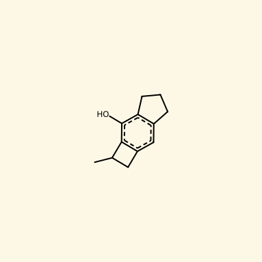 CC1Cc2cc3c(c(O)c21)CCC3